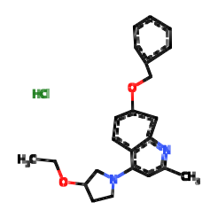 CCOC1CCN(c2cc(C)nc3cc(OCc4ccccc4)ccc23)C1.Cl